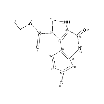 CCOC(=O)C1CNc2c1c1ccc(Cl)cc1[nH]c2=O